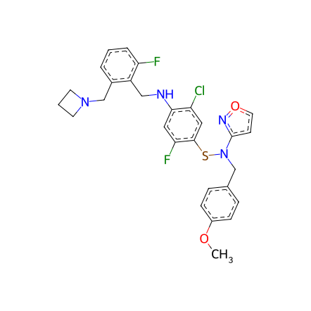 COc1ccc(CN(Sc2cc(Cl)c(NCc3c(F)cccc3CN3CCC3)cc2F)c2ccon2)cc1